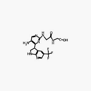 Nc1cnc(NCC(=O)NCCO)nc1C1CNc2ncc(C(F)(F)F)cc21